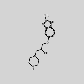 Cc1nc2cc(OCC(O)CN3CCNCC3)ccc2[nH]1